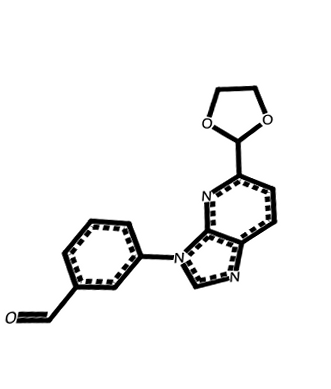 O=Cc1cccc(-n2cnc3ccc(C4OCCO4)nc32)c1